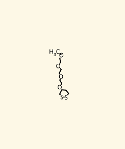 COCCOCCOCCOC1CCSSC1